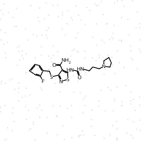 NC(=O)c1c(SCc2ccccc2F)nsc1NC(=O)NCCCN1CCCC1